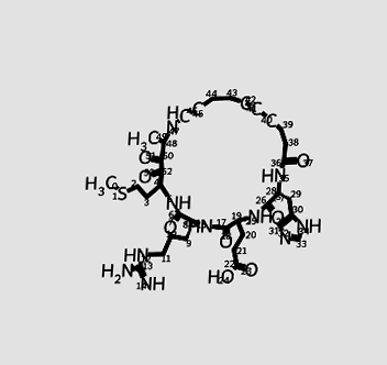 CSCCC1NC(=O)[C@H](CCCNC(=N)N)NC(=O)C(CCC(=O)O)NC(=O)[C@H](Cc2cnc[nH]2)NC(=O)CCCCCCCCCNC(C)C(=O)C1=O